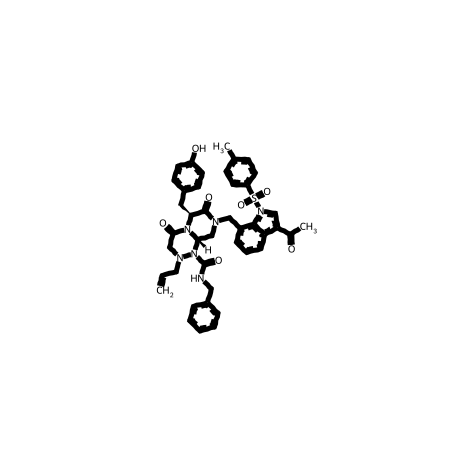 C=CCN1CC(=O)N2[C@@H](Cc3ccc(O)cc3)C(=O)N(Cc3cccc4c(C(C)=O)cn(S(=O)(=O)c5ccc(C)cc5)c34)C[C@@H]2N1C(=O)NCc1ccccc1